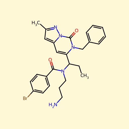 CCC(c1cc2cc(C)nn2c(=O)n1Cc1ccccc1)N(CCCN)C(=O)c1ccc(Br)cc1